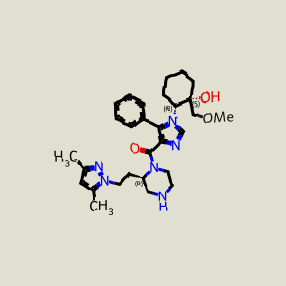 COC[C@]1(O)CCCC[C@H]1n1cnc(C(=O)N2CCNC[C@H]2CCn2nc(C)cc2C)c1-c1ccccc1